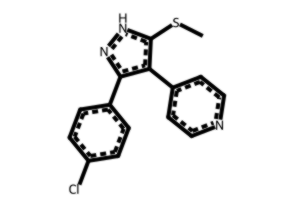 CSc1[nH]nc(-c2ccc(Cl)cc2)c1-c1ccncc1